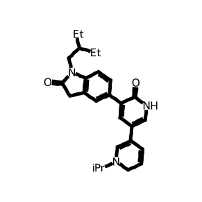 CCC(CC)CN1C(=O)Cc2cc(-c3cc(C4=CN(C(C)C)CC=C4)c[nH]c3=O)ccc21